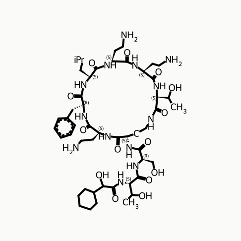 CC(C)C[C@@H]1NC(=O)[C@@H](Cc2ccccc2)NC(=O)[C@H](CCN)NC(=O)[C@@H](NC(=O)[C@@H](CO)NC(=O)[C@@H](NC(=O)C(O)C2CCCCC2)C(C)O)CCNC(=O)[C@H](C(C)O)NC(=O)[C@H](CCN)NC(=O)[C@H](CCN)NC1=O